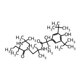 CCC1(C)NC(C)(C)CN(CC(C)(C)NC(=O)C(C)(C)c2cc(C(C)(C)C)c(O)c(C(C)(C)C)c2)C1=O